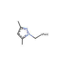 CCCCCCn1nc(C)cc1C